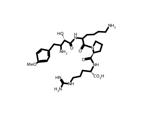 COc1ccc(CC(N)[C@H](O)C(=O)NC(CCCCN)C(=O)N2CCC[C@H]2C(=O)N[C@@H](CCCNC(=N)N)C(=O)O)cc1